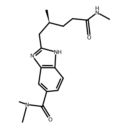 CNC(=O)CC[C@H](C)Cc1nc2cc(C(=O)N(C)C)ccc2[nH]1